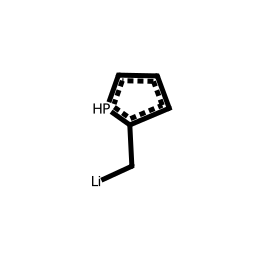 [Li][CH2]c1ccc[pH]1